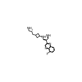 N=C/C(=C\NC1CC(CCCN)C1)c1cnc2c(F)cccc2n1